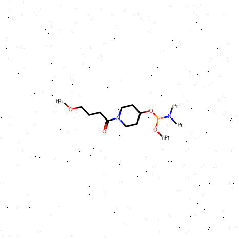 CCCOP(OC1CCN(C(=O)CCCOC(C)(C)C)CC1)N(C(C)C)C(C)C